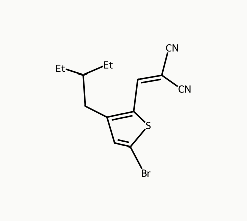 CCC(CC)Cc1cc(Br)sc1C=C(C#N)C#N